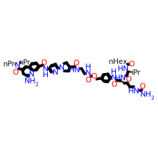 CCCCCCC(=O)N[C@H](C(=O)N[C@@H](CCCCNC(N)=O)C(=O)Nc1ccc(COC(=O)NCCNC(=O)C2CCN(c3ccc(NC(=O)c4ccc5c(c4)N=C(N)CC(C(=O)N(CCC)CCC)=C5)cn3)CC2)cc1)C(C)C